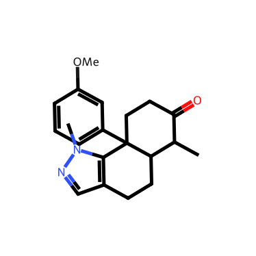 COc1cccc(C23CCC(=O)C(C)C2CCc2cnn(C)c23)c1